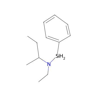 CCC(C)N(CC)[SiH2]c1ccccc1